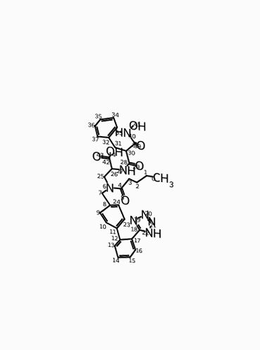 CCCCC(=O)N(Cc1ccc(-c2ccccc2-c2nnn[nH]2)cc1)CC(NC(=O)C(Cc1ccccc1)C(=O)NO)C(=O)O